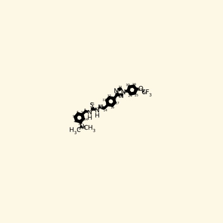 CN(C)c1cccc(CNC(=S)N/N=C/c2ccc(-c3ncn(-c4ccc(OC(F)(F)F)cc4)n3)cc2)c1